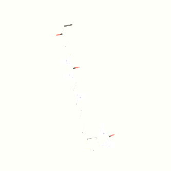 C=C(C)C(=O)OCCNC(=O)NCCNCCCCCC1SCC2NC(=O)NC21